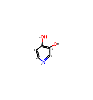 [O]c1cnccc1O